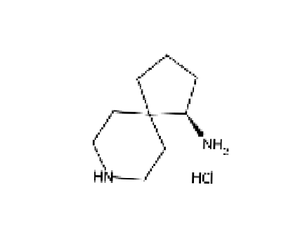 Cl.N[C@@H]1CCCC12CCNCC2